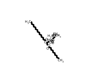 CCCCCCCCCCCCCCCC(=O)OC(COC(=O)CCCCCCCCCC)COP(=O)(O)OCC[N+](C)(C)C